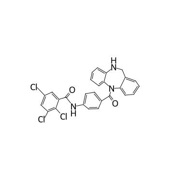 O=C(Nc1ccc(C(=O)N2c3ccccc3CNc3ccccc32)cc1)c1cc(Cl)cc(Cl)c1Cl